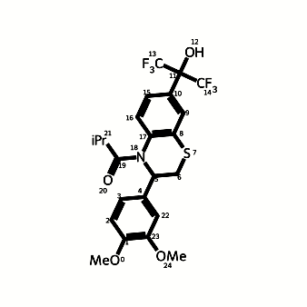 COc1ccc(C2CSc3cc(C(O)(C(F)(F)F)C(F)(F)F)ccc3N2C(=O)C(C)C)cc1OC